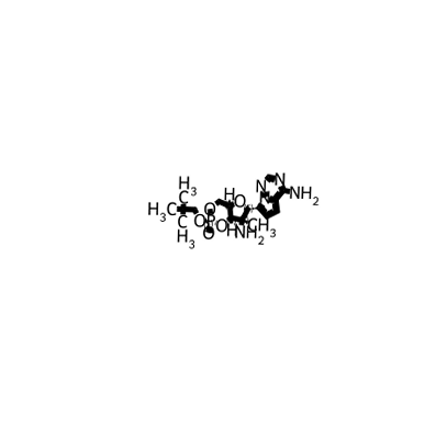 CC(C)(C)CO[P@@]1(=O)OC[C@H]2O[C@H](c3ccc4c(N)ncnn34)[C@](C)(N)[C@@H]2O1